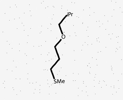 CSCCCOCC(C)C